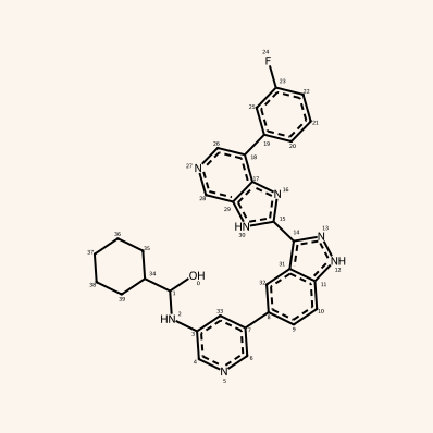 OC(Nc1cncc(-c2ccc3[nH]nc(-c4nc5c(-c6cccc(F)c6)cncc5[nH]4)c3c2)c1)C1CCCCC1